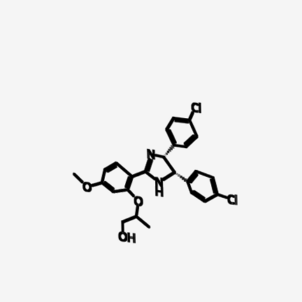 COc1ccc(C2=N[C@H](c3ccc(Cl)cc3)[C@H](c3ccc(Cl)cc3)N2)c(OC(C)CO)c1